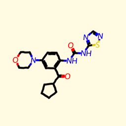 O=C(Nc1ncns1)Nc1ccc(N2CCOCC2)cc1C(=O)C1CCCC1